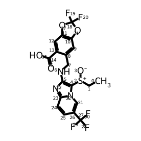 CC[S+]([O-])c1c(NCc2cc3c(cc2C(=O)O)OC(F)(F)O3)nc2ccc(C(F)(F)F)cn12